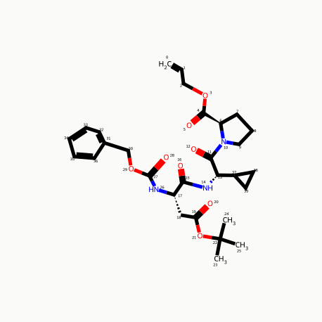 C=CCOC(=O)[C@H]1CCCN1C(=O)[C@@H](NC(=O)[C@H](CC(=O)OC(C)(C)C)NC(=O)OCc1ccccc1)C1CC1